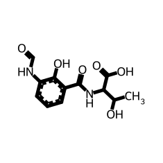 CC(O)C(NC(=O)c1cccc(NC=O)c1O)C(=O)O